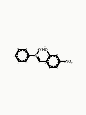 O=[N+]([O-])c1ccc(C=[N+]([O-])c2ccccc2)c(O)c1